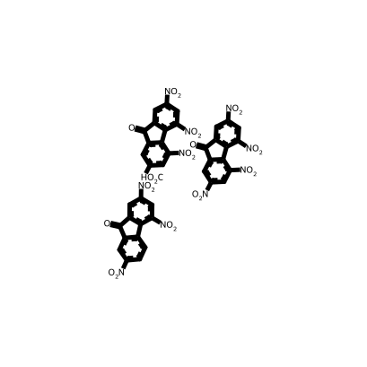 O=C(O)c1cc2c(c([N+](=O)[O-])c1)-c1c(cc([N+](=O)[O-])cc1[N+](=O)[O-])C2=O.O=C1c2cc([N+](=O)[O-])cc([N+](=O)[O-])c2-c2c1cc([N+](=O)[O-])cc2[N+](=O)[O-].O=C1c2cc([N+](=O)[O-])ccc2-c2c1cc([N+](=O)[O-])cc2[N+](=O)[O-]